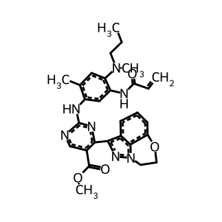 C=CC(=O)Nc1cc(Nc2ncc(C(=O)OC)c(-c3nn4c5c(cccc35)OCC4)n2)c(C)cc1N(C)CCC